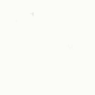 C=C(O)C1CCc2cc(C3CCCCC3)c(Cl)cc21